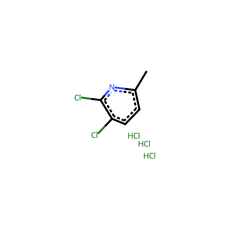 Cc1ccc(Cl)c(Cl)n1.Cl.Cl.Cl